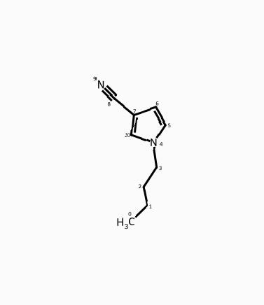 CCCCn1ccc(C#N)c1